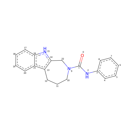 O=C(Nc1ccccc1)N1CCCc2c([nH]c3ccccc23)C1